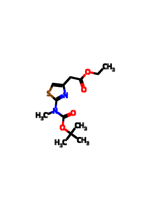 CCOC(=O)Cc1csc(N(C)C(=O)OC(C)(C)C)n1